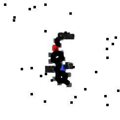 CCn1c(-c2ccc(OCCOC)cc2)c(C#N)c2ccc(C)cc21